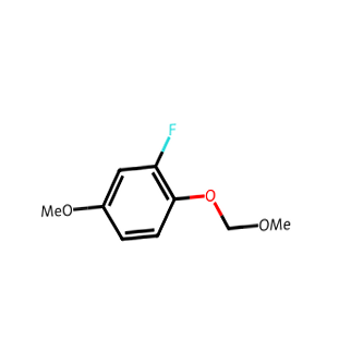 COCOc1ccc(OC)cc1F